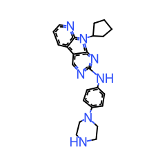 c1cnc2c(c1)c1cnc(Nc3ccc(N4CCNCC4)cc3)nc1n2C1CCCC1